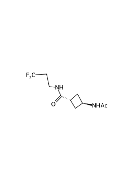 CC(=O)N[C@H]1C[C@H](C(=O)NCCC(F)(F)F)C1